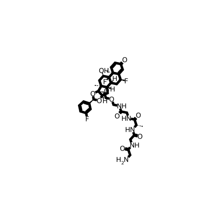 C[C@H](NC(=O)CNC(=O)CN)C(=O)NCC(=O)NCOCC(=O)[C@@]12O[C@H](c3cccc(F)c3)O[C@@H]1C[C@H]1[C@@H]3C[C@H](F)C4=CC(=O)C=C[C@]4(C)[C@@]3(F)[C@@H](O)C[C@@]12C